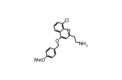 COc1ccc(COc2cc(CCN)nc3c(Cl)cccc23)cc1